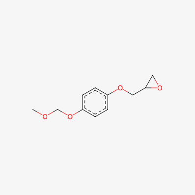 COCOc1ccc(OCC2CO2)cc1